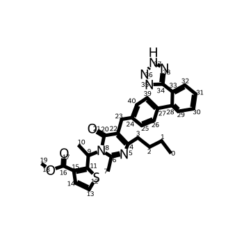 CCCCc1nc(C)n(C(C)c2sccc2C(=O)OC)c(=O)c1Cc1ccc(-c2ccccc2-c2nn[nH]n2)cc1